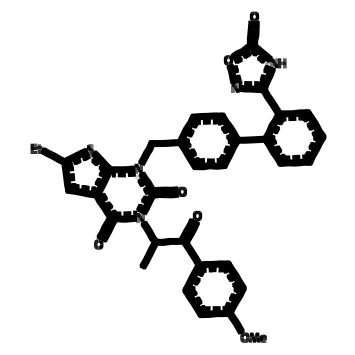 CCc1cc2c(=O)n(C(C)C(=O)c3ccc(OC)cc3)c(=O)n(Cc3ccc(-c4ccccc4-c4noc(=O)[nH]4)cc3)c2s1